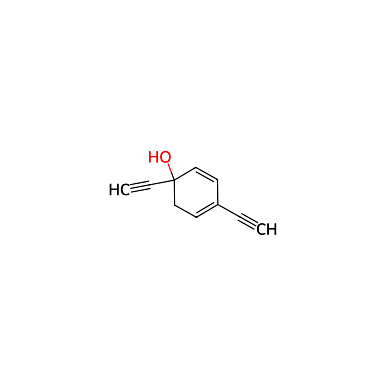 C#CC1=CCC(O)(C#C)C=C1